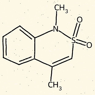 CC1=CS(=O)(=O)N(C)c2ccccc21